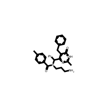 Cc1ccc(C(=O)N(CCCN)C(c2nc(C)[nH]c(=O)c2Cc2ccccc2)C(C)C)cc1